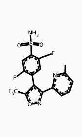 Cc1cccc(-c2noc(C(F)(F)F)c2-c2cc(F)c(S(N)(=O)=O)cc2F)n1